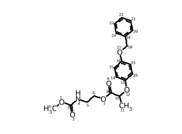 COC(=O)NCCOC(=O)C(C)Oc1ccc(OCc2ccccc2)cc1